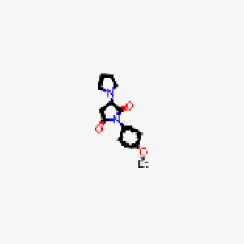 CCOc1ccc(N2C(=O)C[C@@H](N3CCCC3)C2=O)cc1